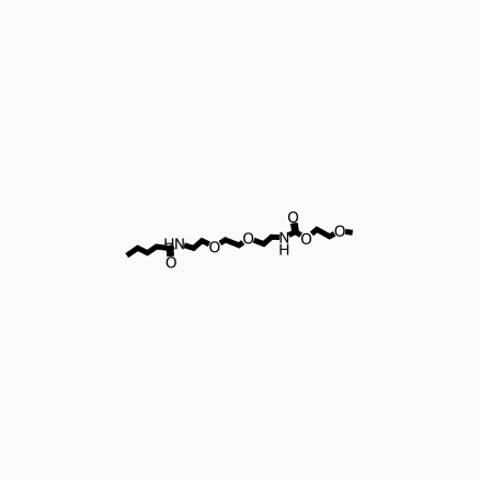 CCCCC(=O)NCCOCCOCCNC(=O)OCCOC